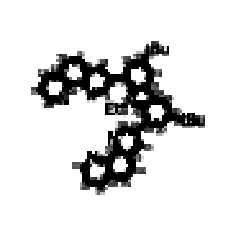 CCn1c2c(-c3cnc4c(ccc5cccnc54)c3)cc(C(C)(C)C)cc2c2cc(C(C)(C)C)cc(-c3cnc4c(ccc5cccnc54)c3)c21